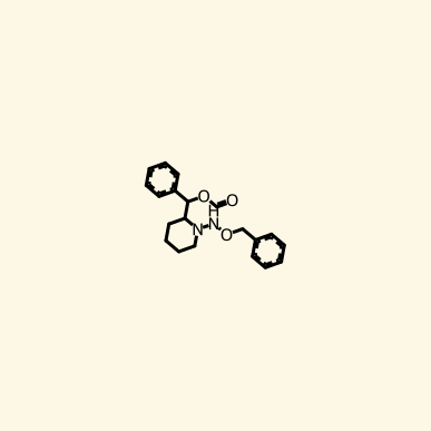 O=COC(c1ccccc1)C1CCCCN1NOCc1ccccc1